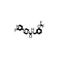 O=C(NCc1cccc(OC(F)F)c1)N1CCN(c2ccnc(F)c2)CC1